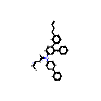 C=CCCc1cccc(-c2ccc(N(C3=CCC(c4ccccc4)C=C3)/C(C)=C/C=C\C)cc2-c2ccccc2)c1